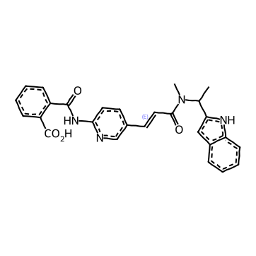 CC(c1cc2ccccc2[nH]1)N(C)C(=O)/C=C/c1ccc(NC(=O)c2ccccc2C(=O)O)nc1